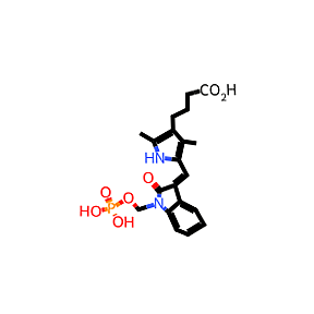 Cc1[nH]c(C=C2C(=O)N(COP(=O)(O)O)c3ccccc32)c(C)c1CCCC(=O)O